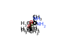 CNCc1cc(N)cc(F)c1O[C@@H](C)CO[Si](C)(C)C(C)(C)C